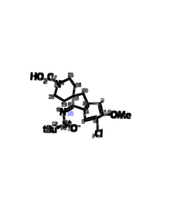 COc1cc2c(cc1Cl)/C(=N\[S@@+]([O-])C(C)(C)C)C1(CCN(C(=O)O)CC1)C2